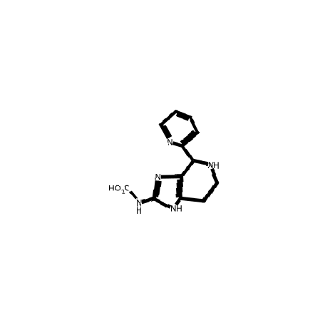 O=C(O)Nc1nc2c([nH]1)CCNC2c1ccccn1